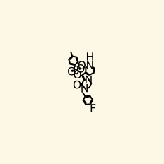 Cc1ccc(S(=O)(=O)Oc2c3c(n4c2C(=O)N(Cc2ccc(F)cc2)CC4)CCNC3=O)cc1